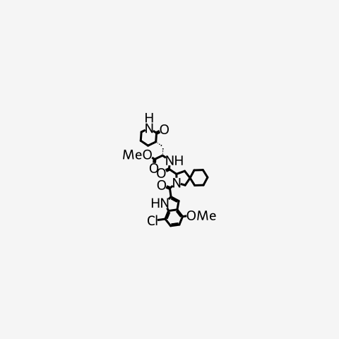 COC(=O)[C@H](C[C@@H]1CCCNC1=O)NC(=O)C1CC2(CCCCC2)CN1C(=O)c1cc2c(OC)ccc(Cl)c2[nH]1